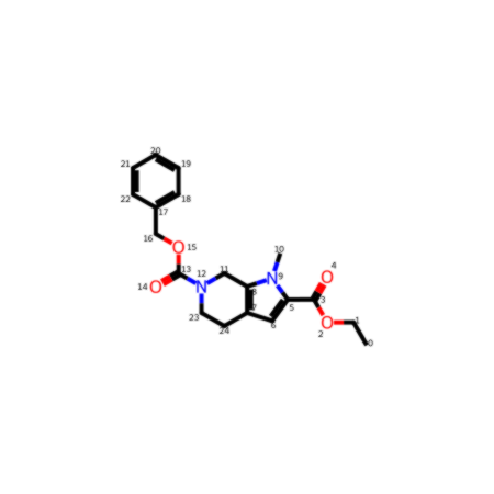 CCOC(=O)c1cc2c(n1C)CN(C(=O)OCc1ccccc1)CC2